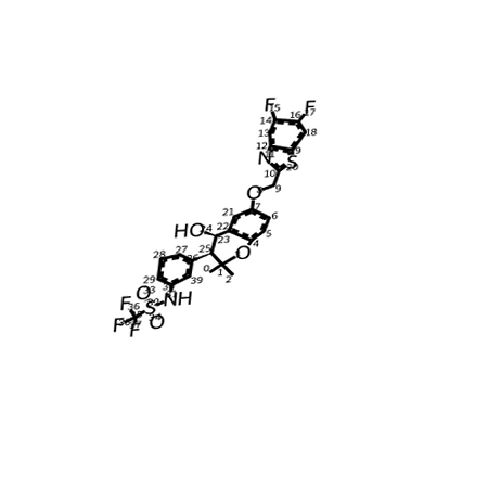 CC1(C)Oc2ccc(OCc3nc4cc(F)c(F)cc4s3)cc2[C@H](O)[C@@H]1c1cccc(NS(=O)(=O)C(F)(F)F)c1